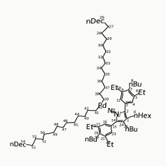 CCCCCCC1=C(c2cc(CC)c(CCCC)c(CC)c2)[N+](=[N-])C(c2cc(CC)c(CCCC)c(CC)c2)=C1CCCC.CCCCCCCCCCCCCCCCCCCCCC[CH2][Pd][CH2]CCCCCCCCCCCCCCCCCCCCCC